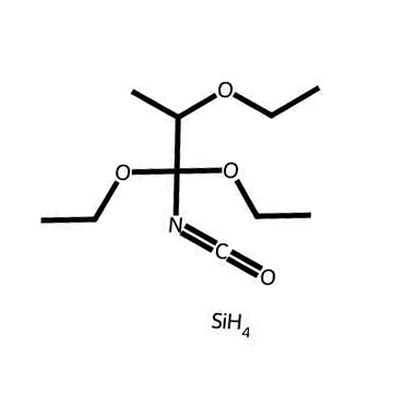 CCOC(C)C(N=C=O)(OCC)OCC.[SiH4]